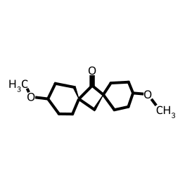 COC1CC[C@]2(CC1)C[C@@]1(CCC(OC)CC1)C2=O